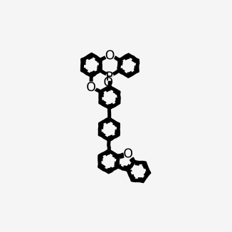 O=P12c3ccccc3Oc3cccc(c31)Oc1cc(-c3ccc(-c4cccc5c4oc4ccccc45)cc3)ccc12